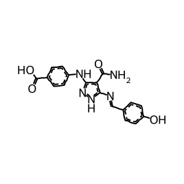 NC(=O)c1c(Nc2ccc(C(=O)O)cc2)n[nH]c1N=Cc1ccc(O)cc1